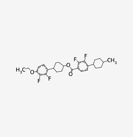 CCOc1ccc(C2CCC(OC(=O)c3ccc(C4CCC(C)CC4)c(F)c3F)CC2)c(F)c1F